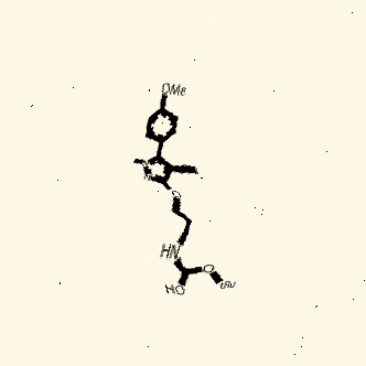 COc1ccc(-c2c(C)c(OCCNC(O)OC(C)(C)C)nn2C)cc1